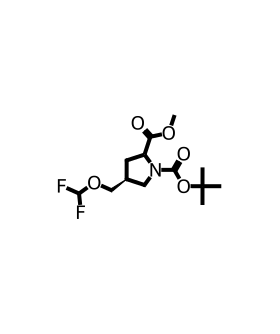 COC(=O)C1C[C@H](COC(F)F)CN1C(=O)OC(C)(C)C